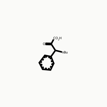 CCCCC(C(=O)C(=O)O)c1ccccc1